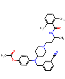 CC(=O)Oc1ccc(N(Cc2cccc(C#N)c2)C2CCN(CCC(C)NC(=O)c3c(C)cccc3C)CC2)cc1